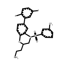 NCCC1CN(S(=O)(=O)c2cccc(C(F)(F)F)c2)c2cc(-c3cc(F)ccc3F)ccc2O1